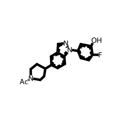 CC(=O)N1CCC(c2ccc3c(cnn3-c3ccc(F)c(O)c3)c2)CC1